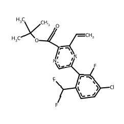 C=Cc1nc(-c2c(C(F)F)ccc(Cl)c2F)cnc1C(=O)OC(C)(C)C